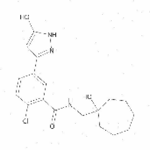 O=C(NCC1(O)CCCCCC1)c1cc(-c2cc(O)[nH]n2)ccc1Cl